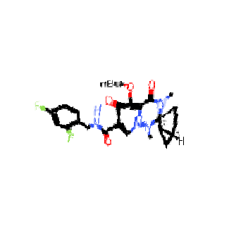 CCCCOc1c2n(cc(C(=O)NCc3ccc(F)cc3F)c1=O)N(C)[C@]1(CC[C@@H]3CC31)N(C)C2=O